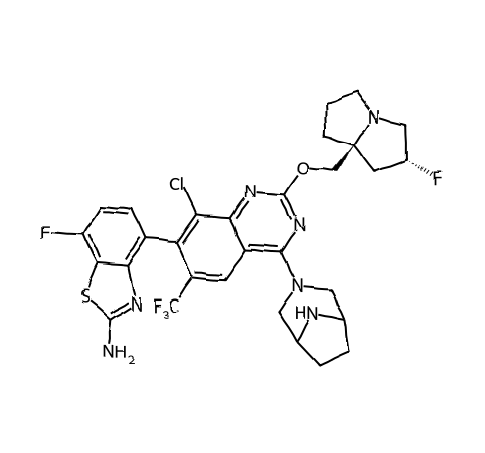 Nc1nc2c(-c3c(C(F)(F)F)cc4c(N5CC6CCC(C5)N6)nc(OC[C@@]56CCCN5C[C@H](F)C6)nc4c3Cl)ccc(F)c2s1